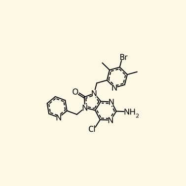 Cc1cnc(Cn2c(=O)n(Cc3ccccn3)c3c(Cl)nc(N)nc32)c(C)c1Br